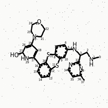 CNCC(Nc1ccc2c(c1)Sc1cccc(C3=CC(N4CCOCC4)=CC(O)N3)c1S2)c1nccc(C)n1